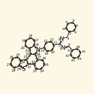 C(=N\C(=N/Cc1ccccc1)c1ccc(-n2c3ccccc3c3c4c5ccccc5sc4c4ccccc4c32)cc1)/c1ccccc1